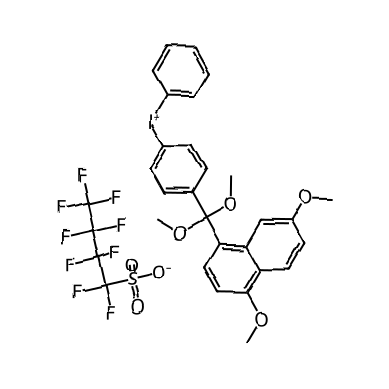 COc1ccc2c(OC)ccc(C(OC)(OC)c3ccc([I+]c4ccccc4)cc3)c2c1.O=S(=O)([O-])C(F)(F)C(F)(F)C(F)(F)C(F)(F)F